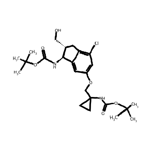 CC(C)(C)OC(=O)N[C@@H]1c2cc(OCC3(NC(=O)OC(C)(C)C)CC3)cc(Cl)c2C[C@H]1CO